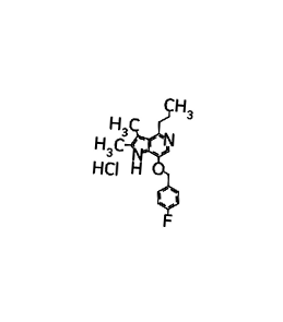 CCCc1ncc(OCc2ccc(F)cc2)c2[nH]c(C)c(C)c12.Cl